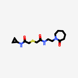 O=C(CSCC(=O)NC1CC1)NCCN1CCCCCC1=O